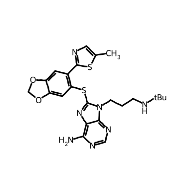 Cc1cnc(-c2cc3c(cc2Sc2nc4c(N)ncnc4n2CCCNC(C)(C)C)OCO3)s1